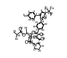 Cc1ccc(-c2cc(C(F)(F)F)nn2-c2ccc(S(=O)(=O)NC(=O)[C@@H]3CCCN3n3on3OC(C)OC(=O)C(C)C)cc2)cc1